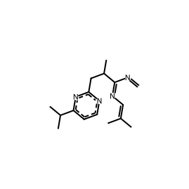 C=NC(=NC=C(C)C)C(C)Cc1nccc(C(C)C)n1